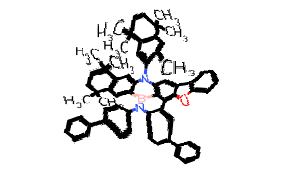 Cc1cc2c(cc1N1c3cc4c(cc3B3c5c1cc1c(oc6ccccc61)c5-c1cc(-c5ccccc5)ccc1N3c1ccc(-c3ccccc3)cc1)C(C)(C)CCC4(C)C)C(C)(C)CCC2(C)C